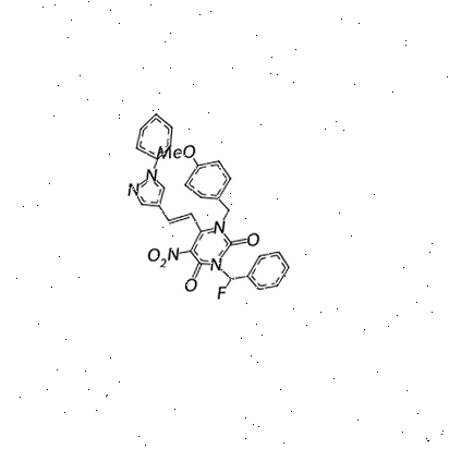 COc1ccc(Cn2c(/C=C/c3cnn(-c4ccccc4)c3)c([N+](=O)[O-])c(=O)n(C(F)c3ccccc3)c2=O)cc1